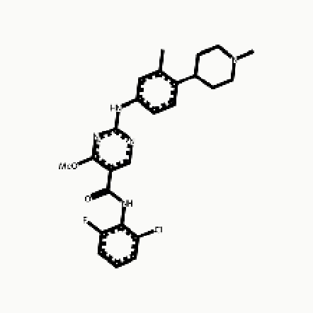 COc1nc(Nc2ccc(C3CCN(C)CC3)c(C)c2)ncc1C(=O)Nc1c(F)cccc1Cl